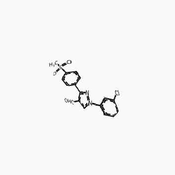 CS(=O)(=O)c1ccc(-c2nn(-c3cccc(Cl)c3)cc2C=O)cc1